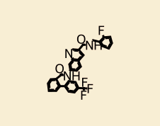 O=C(NCc1ccccc1F)c1cnc2cc(NC(=O)c3ccccc3-c3ccc(C(F)(F)F)cc3)ccc2c1